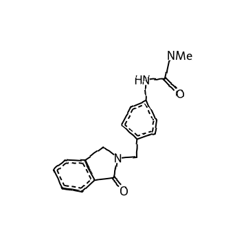 CNC(=O)Nc1ccc(CN2Cc3ccccc3C2=O)cc1